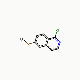 CSc1ccc2c(Cl)nccc2c1